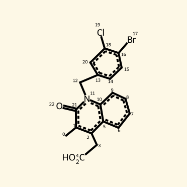 Cc1c(CC(=O)O)c2ccccc2n(Cc2ccc(Br)c(Cl)c2)c1=O